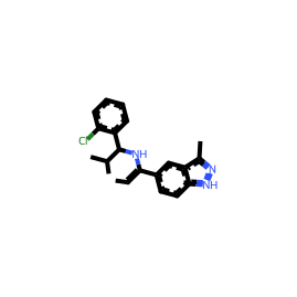 C/C=C(\NC(c1ccccc1Cl)C(C)C)c1ccc2[nH]nc(C)c2c1